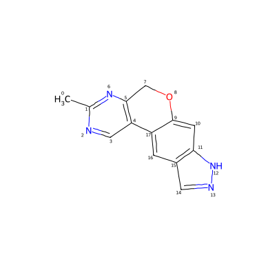 Cc1ncc2c(n1)COc1cc3[nH]ncc3cc1-2